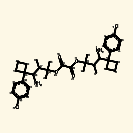 CC(C(N)C1(c2ccc(Cl)cc2)CCC1)C(C)(C)OC(=O)C(=O)OC(C)(C)C(C)C(N)C1(c2ccc(Cl)cc2)CCC1